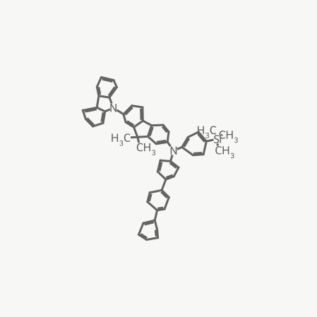 CC1(C)c2cc(N(c3ccc(-c4ccc(-c5ccccc5)cc4)cc3)c3ccc([Si](C)(C)C)cc3)ccc2-c2ccc(-n3c4ccccc4c4ccccc43)cc21